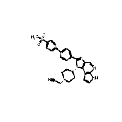 CS(=O)(=O)c1ccc(-c2ccc(-c3nc4cnc5[nH]ccc5c4n3[C@H]3CC[C@@H](CC#N)CC3)cc2)cc1